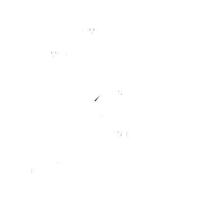 COc1cc2c(cc1OC)[C@H](CCc1ccc(OC(F)F)cc1)N([C@@H](C(N)=O)c1ccccc1)CC2